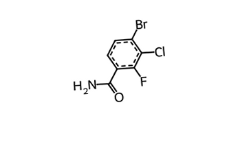 NC(=O)c1ccc(Br)c(Cl)c1F